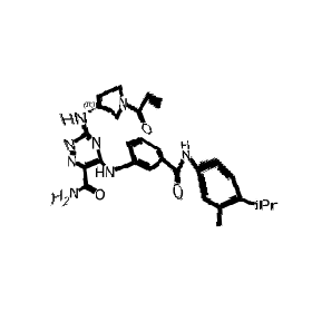 C=CC(=O)N1CC[C@@H](Nc2nnc(C(N)=O)c(Nc3cccc(C(=O)Nc4ccc(C(C)C)c(C)c4)c3)n2)C1